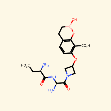 N[C@H](CC(=O)O)C(=O)N[C@H](N)C(=O)N1CC(Oc2ccc3c(c2C(=O)O)OB(O)CC3)C1